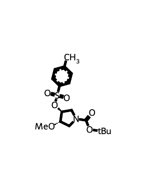 CO[C@H]1CN(C(=O)OC(C)(C)C)C[C@@H]1OS(=O)(=O)c1ccc(C)cc1